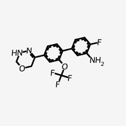 Nc1cc(-c2ccc(C3=NNCOC3)cc2OC(F)(F)F)ccc1F